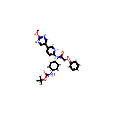 COc1ncc(-c2ccc(N(C(=O)COc3ccccc3)[C@H]3CC[C@H](NC(=O)OC(C)(C)C)CC3)nc2)cn1